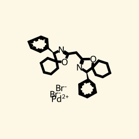 [Br-].[Br-].[Pd+2].c1ccc([C@H]2N=C(CC3=N[C@H](c4ccccc4)C4(CCCCC4)O3)OC23CCCCC3)cc1